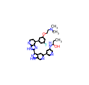 CCC(O)Nc1cncc(-c2cc3c(-c4nc5c(-c6cc(F)cc(OCCN(C)C)c6)ccnc5[nH]4)n[nH]c3cn2)c1